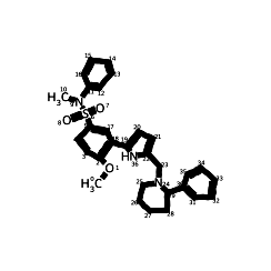 COc1ccc(S(=O)(=O)N(C)c2ccccc2)cc1-c1ccc(CN2CCCCC2c2ccccc2)[nH]1